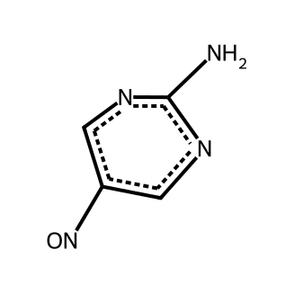 Nc1ncc(N=O)cn1